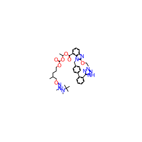 CCOc1nc2cccc(C(=O)OC(C)OC(=O)OCCCC(C)CO/N=[N+](\C)N(C)C(C)(C)C)c2n1Cc1ccc(-c2ccccc2-c2nnn[nH]2)cc1